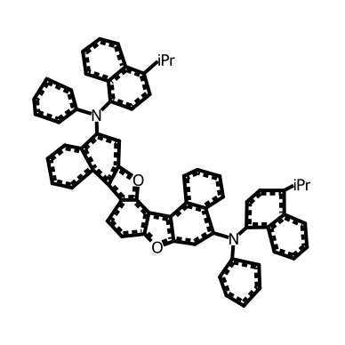 CC(C)c1ccc(N(c2ccccc2)c2cc3oc4c(ccc5oc6cc(N(c7ccccc7)c7ccc(C(C)C)c8ccccc78)c7ccccc7c6c54)c3c3ccccc23)c2ccccc12